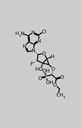 CCOC(=O)[C@@H](OC1[C@H]2O[C@@H](n3cnc4c(N)nc(Cl)nc43)[C@@H](F)[C@@]12O)P(=O)(O)O